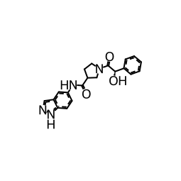 O=C(Nc1ccc2[nH]ncc2c1)C1CCN(C(=O)[C@H](O)c2ccccc2)C1